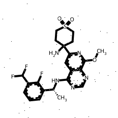 COc1nc(C2(N)CCS(=O)(=O)CC2)cc2c(N[C@H](C)c3cccc(C(F)F)c3F)ncnc12